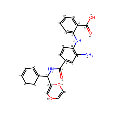 Nc1cc(C(=O)NC(C2=CC=CCC2)C2=COC=CO2)ccc1Nc1ccccc1C(=O)O